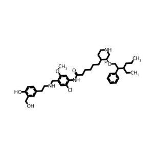 CCCC(CC)C(CO[C@@H]1CNCCC1CCCCCC(=O)Nc1cc(OC)c(CNCCc2ccc(O)c(CO)c2)cc1Cl)c1ccccc1